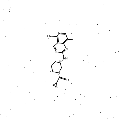 Cc1cnc(N)c2cnc(N[C@H]3CCCN(C(=O)C4CC4)C3)nc12